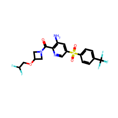 Nc1cc(S(=O)(=O)c2ccc(C(F)(F)F)cc2)cnc1C(=O)N1CC(OCC(F)F)C1